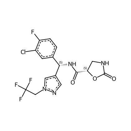 O=C1NC[C@@H](C(=O)N[C@@H](c2ccc(F)c(Cl)c2)c2cnn(CC(F)(F)F)c2)O1